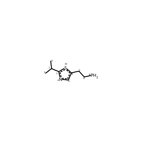 CC(C)c1ncc(CCP)s1